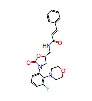 O=C(C=Cc1ccccc1)NC[C@H]1CN(c2cccc(F)c2N2CCOCC2)C(=O)O1